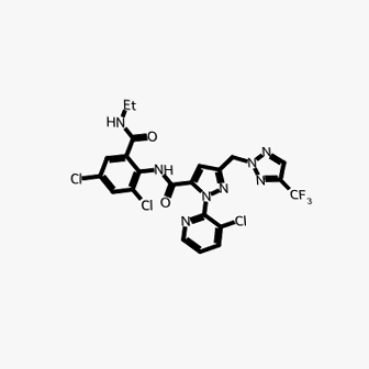 CCNC(=O)c1cc(Cl)cc(Cl)c1NC(=O)c1cc(Cn2ncc(C(F)(F)F)n2)nn1-c1ncccc1Cl